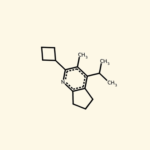 Cc1c(C2CCC2)nc2c(c1C(C)C)CCC2